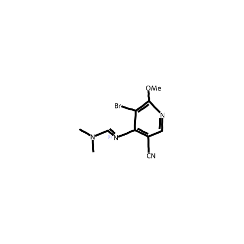 COc1ncc(C#N)c(/N=C/N(C)C)c1Br